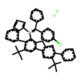 CC(C)(C)c1cc2c(cc1-c1ccccc1)Cc1c-2cc(C(C)(C)C)c(-c2ccccc2)[c]1/[Zr+2]([C]1=CC=CC1)=[C](/c1ccccc1)c1ccc(Cl)cc1.[Cl-].[Cl-]